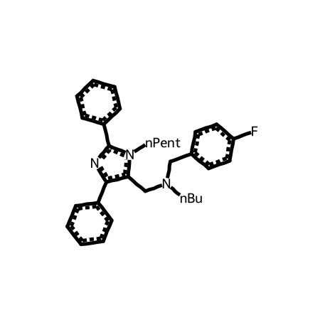 CCCCCn1c(-c2ccccc2)nc(-c2ccccc2)c1CN(CCCC)Cc1ccc(F)cc1